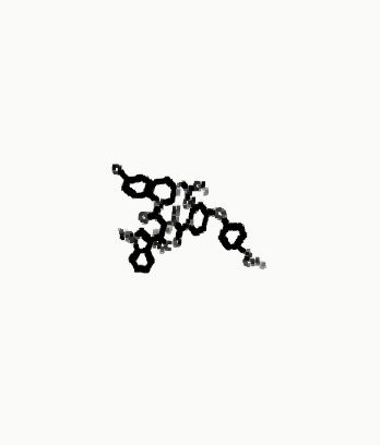 CSc1ccc(OC2CCN(C(=O)N[C@@H](C(=O)N3C[C@@H](CN(C)C)Cc4cc(Cl)ccc43)[C@@H](C)c3c[nH]c4ccccc34)CC2)cc1